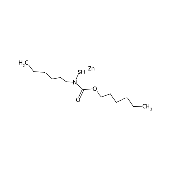 CCCCCCOC(=O)N(S)CCCCCC.[Zn]